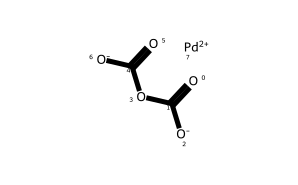 O=C([O-])OC(=O)[O-].[Pd+2]